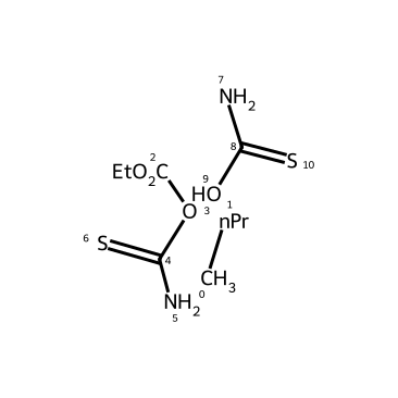 CCCC.CCOC(=O)OC(N)=S.NC(O)=S